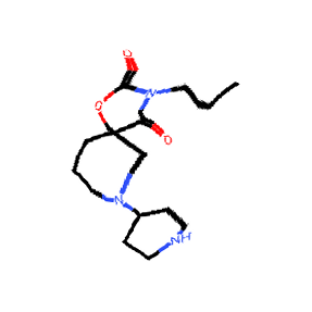 CCCN1C(=O)OC2(CCCN(C3CCNCC3)C2)C1=O